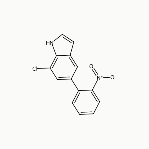 O=[N+]([O-])c1ccccc1-c1cc(Cl)c2[nH]ccc2c1